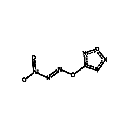 O=[N+]([O-])N=NOc1[c]non1